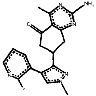 Cc1nc(N)nc2c1C(=O)CC(c1nn(C)cc1-c1cccnc1F)C2